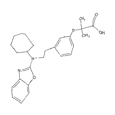 CC(C)(Oc1cccc(CCN(c2nc3ccccc3o2)C2CCCCC2)c1)C(=O)O